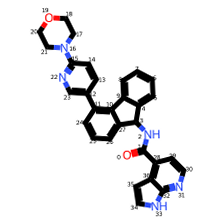 O=C(NC1c2ccccc2-c2c(-c3ccc(N4CCOCC4)nc3)cccc21)c1ccnc2[nH]ccc12